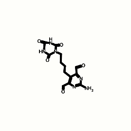 Nc1nc(C=O)c(CCCCn2c(=O)[nH]c(=O)[nH]c2=O)c(C=O)n1